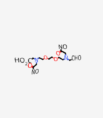 O=CCN(CCOCCOCCN(CC(=O)O)CC(=O)N=O)CC(=O)N=O